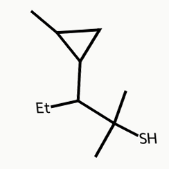 CCC(C1CC1C)C(C)(C)S